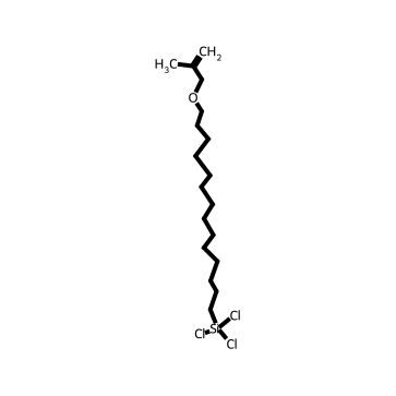 C=C(C)COCCCCCCCCCCCCCC[Si](Cl)(Cl)Cl